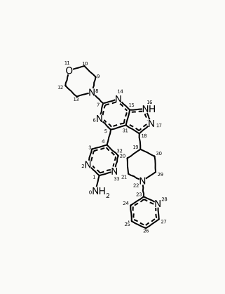 Nc1ncc(-c2nc(N3CCOCC3)nc3[nH]nc(C4CCN(c5c[c]ccn5)CC4)c23)cn1